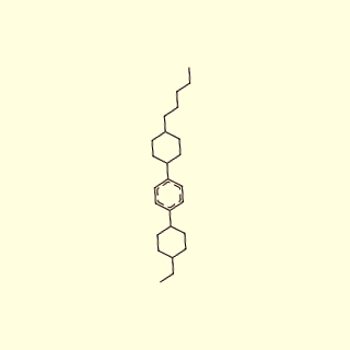 CCCCCC1CCC(c2ccc(C3CCC(CC)CC3)cc2)CC1